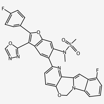 CN(c1cc2oc(-c3ccc(F)cc3)c(-c3nnco3)c2cc1-c1ccc2c(n1)-c1cc3c(F)cccc3n1CO2)S(C)(=O)=O